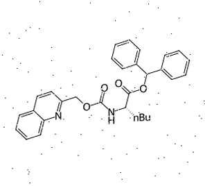 CCCC[C@H](NC(=O)OCc1ccc2ccccc2n1)C(=O)OC(c1ccccc1)c1ccccc1